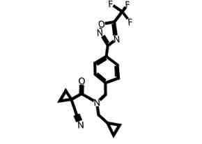 N#CC1(C(=O)N(Cc2ccc(-c3noc(C(F)(F)F)n3)cc2)CC2CC2)CC1